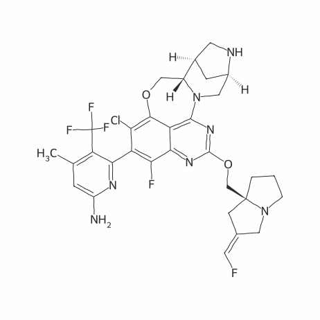 Cc1cc(N)nc(-c2c(Cl)c3c4c(nc(OC[C@@]56CCCN5C/C(=C\F)C6)nc4c2F)N2C[C@H]4C[C@H](CN4)[C@H]2CO3)c1C(F)(F)F